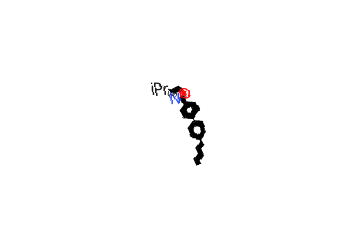 CC=CCC[C@H]1CC[C@H](c2ccc(C3=N[C@@H](C(C)C)CO3)cc2)CC1